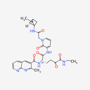 CCNC(=O)C(=O)CC[C@H](NC(=O)c1cc2cccnc2nc1C)C(=O)Nc1cccn(CC(=O)NC23CC(C2)[C@@H]3C)c1=O